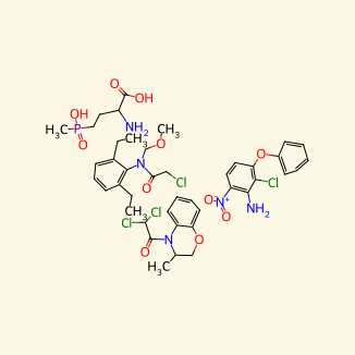 CC1COc2ccccc2N1C(=O)C(Cl)Cl.CCc1cccc(CC)c1N(COC)C(=O)CCl.CP(=O)(O)CCC(N)C(=O)O.Nc1c([N+](=O)[O-])ccc(Oc2ccccc2)c1Cl